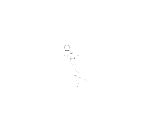 CCCCN(CCCC)C(=O)NCCN1CC[C@@H](NC(=O)c2cc(Cl)c(N)cc2OC)[C@@H](OC)C1